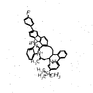 C=C1CC2C(CCc3ccc4c(oc5ccc(-c6ccc(F)cc6)cc54)c3-c3n(C(C)C)c4ccccc4[n+]31)c1ccccc1-c1ccc([Si](C)(C)C)c[n+]12